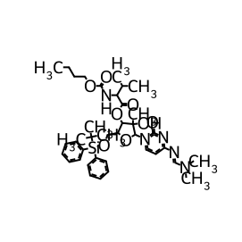 CCCCOC(=O)NC(C(=O)OC1C(CO[Si](c2ccccc2)(c2ccccc2)C(C)(C)C)OC(n2ccc(N=CN(C)C)nc2=O)C1(C)O)C(C)C